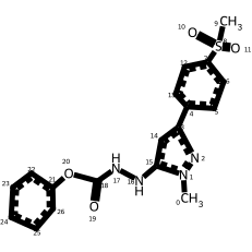 Cn1nc(-c2ccc(S(C)(=O)=O)cc2)cc1NNC(=O)Oc1ccccc1